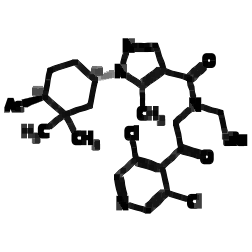 CC(=O)[C@H]1CC[C@H](n2ncc(C(=O)N(CC(=O)c3c(Cl)cncc3Cl)CC(C)(C)C)c2C)CC1(C)C